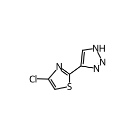 Clc1csc(-c2c[nH]nn2)n1